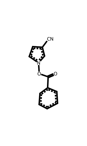 N#Cc1ccn(OC(=O)c2ccccc2)c1